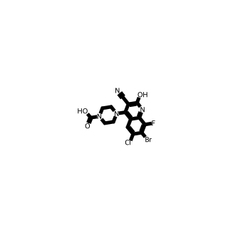 N#Cc1c(O)nc2c(F)c(Br)c(Cl)cc2c1N1CCN(C(=O)O)CC1